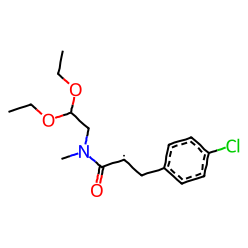 CCOC(CN(C)C(=O)[CH]Cc1ccc(Cl)cc1)OCC